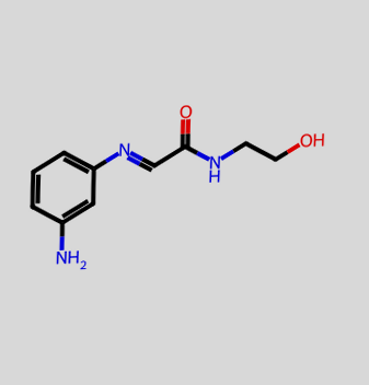 Nc1cccc(N=CC(=O)NCCO)c1